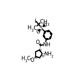 CO[C@H]1C[C@@H](N)[C@@H](C(=O)Nc2cccc(S(=O)(=O)C(C)(C)I)c2)C1